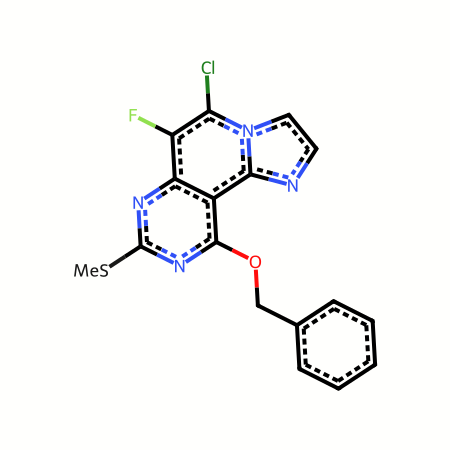 CSc1nc(OCc2ccccc2)c2c(n1)c(F)c(Cl)n1ccnc21